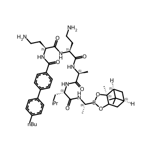 CCCCc1ccc(-c2ccc(C(=O)N[C@@H](CCN)C(=O)N[C@@H](CCN)C(=O)N[C@@H](C)C(=O)N[C@@H](CC(C)C)C(=O)N[C@@H](C)B3OC4C[C@@H]5C[C@@H](C5(C)C)[C@]4(C)O3)cc2)cc1